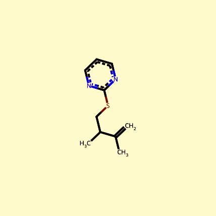 C=C(C)C(C)CSc1ncccn1